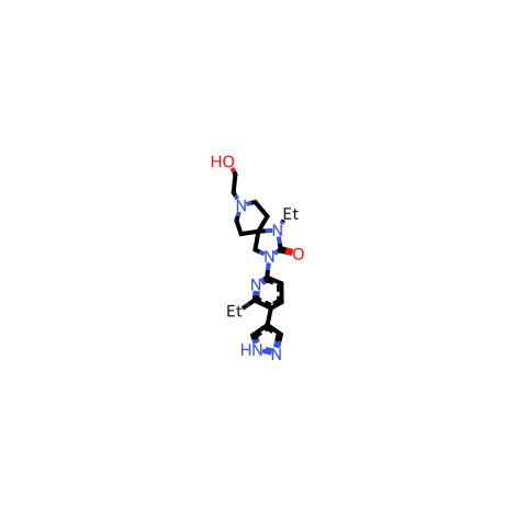 CCc1nc(N2CC3(CCN(CCO)CC3)N(CC)C2=O)ccc1-c1cn[nH]c1